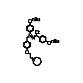 CCCCOc1ccc(C(CC)=NN(Cc2ccc(OCCN3CCCCCC3)cc2)c2ccc(OCCCC)cc2)cc1